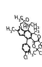 Cc1c([C@H](OC(C)(C)C)C(=O)O)c(-c2ccc(Cl)cc2)c2cc(C)n3c2c1N(C)[SH](C)(=O)C3